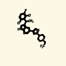 CC(c1c(Cl)ccc(F)c1Cl)c1c[nH]c2ncc(-c3cnn(C4CCN(CC(F)(F)F)CC4)c3)cc12